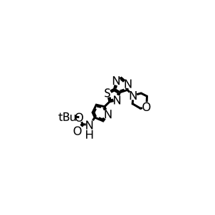 CC(C)(C)OC(=O)Nc1ccc(-c2nc3c(N4CCOCC4)ncnc3s2)nc1